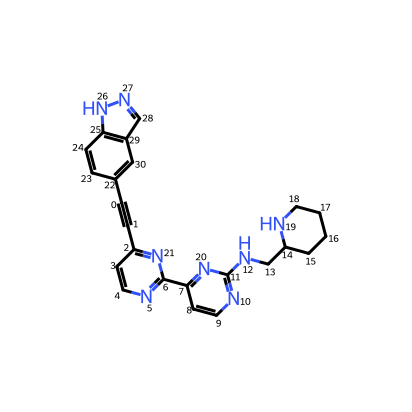 C(#Cc1ccnc(-c2ccnc(NCC3CCCCN3)n2)n1)c1ccc2[nH]ncc2c1